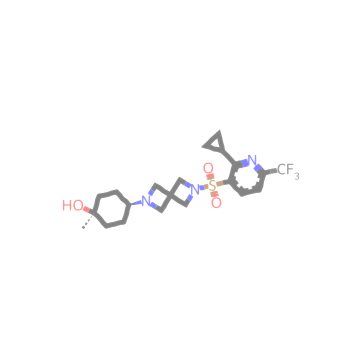 C[C@]1(O)CC[C@@H](N2CC3(CN(S(=O)(=O)c4ccc(C(F)(F)F)nc4C4CC4)C3)C2)CC1